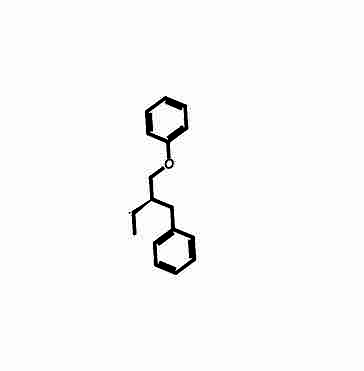 C[CH][C@@H](COc1ccccc1)Cc1ccccc1